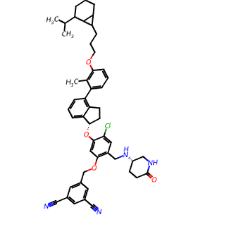 Cc1c(OCCCC2C3CCCC(C(C)C)C23)cccc1-c1cccc2c1CC[C@@H]2Oc1cc(OCc2cc(C#N)cc(C#N)c2)c(CN[C@H]2CCC(=O)NC2)cc1Cl